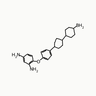 BC1CCC(C2CCC(c3ccc(Oc4ccc(N)cc4N)cc3)CC2)CC1